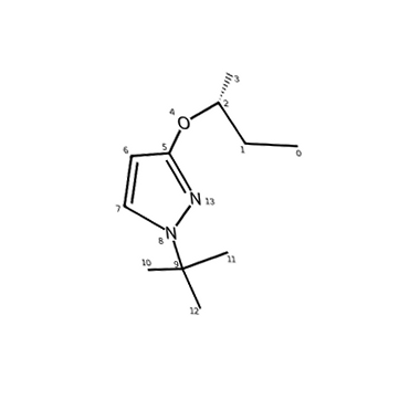 CC[C@@H](C)Oc1ccn(C(C)(C)C)n1